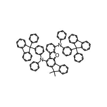 CC1(C)c2ccccc2-c2c1cc(N(c1ccccc1)c1cccc(C3(c4ccccc4)c4ccccc4-c4ccccc43)c1)c1c2oc2c(N(c3ccccc3)c3cccc(C4(c5ccccc5)c5ccccc5-c5ccccc54)c3)cccc21